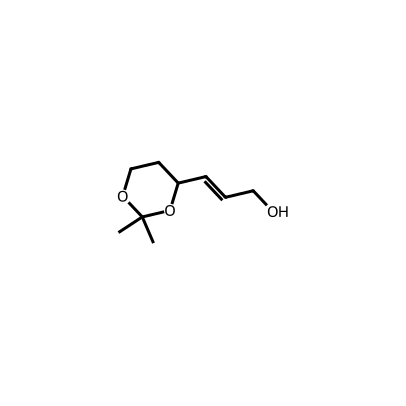 CC1(C)OCCC(C=CCO)O1